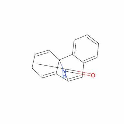 O=C1NC23C=CCC=C2C1=Cc1ccccc13